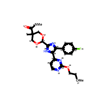 CNC(=O)C1(C)COC(c2nc(-c3ccc(F)cc3)c(-c3ccnc(OCCOC)n3)[nH]2)OC1